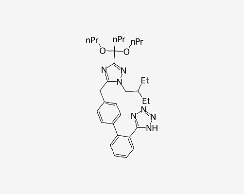 CCCOC(CCC)(OCCC)c1nc(Cc2ccc(-c3ccccc3-c3nnn[nH]3)cc2)n(CC(CC)CC)n1